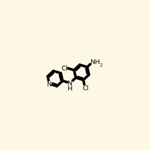 Nc1cc(Cl)c(Nc2cccnc2)c(Cl)c1